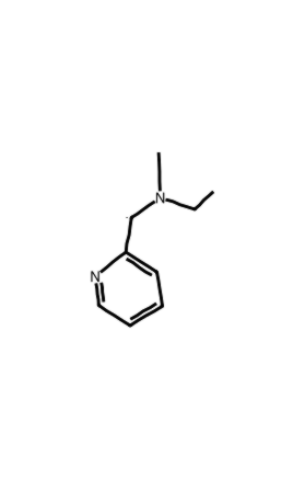 CCN(C)[CH]c1ccccn1